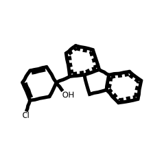 OC1(c2cccc3c2Cc2ccccc2-3)C=CC=C(Cl)C1